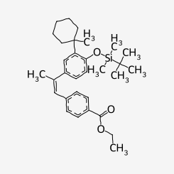 CCOC(=O)c1ccc(C=C(C)c2ccc(O[Si](C)(C)C(C)(C)C)c(C3(C)CCCCC3)c2)cc1